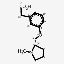 CN1CCC[C@H]1COc1cccc(CC(=O)O)c1